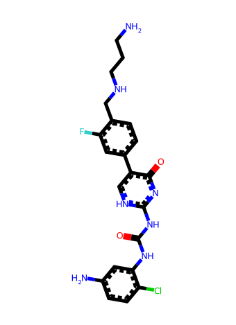 NCCCNCc1ccc(-c2c[nH]c(NC(=O)Nc3cc(N)ccc3Cl)nc2=O)cc1F